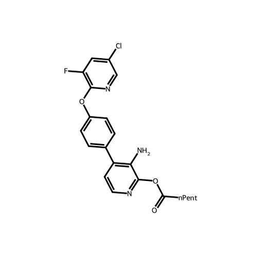 CCCCCC(=O)Oc1nccc(-c2ccc(Oc3ncc(Cl)cc3F)cc2)c1N